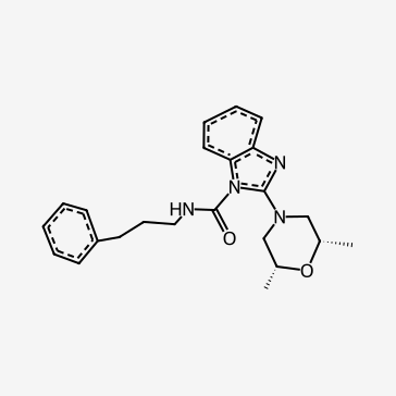 C[C@@H]1CN(c2nc3ccccc3n2C(=O)NCCCc2ccccc2)C[C@H](C)O1